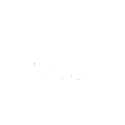 N[C@]1(CCc2ccccc2)C[C@@H]1c1ccc(Cl)cc1